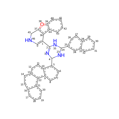 C1=C(C2=NC(c3cccc4c3ccc3ccc5ccccc5c34)NC(c3ccc4ccccc4c3)N2)c2c(oc3ccccc23)CN1